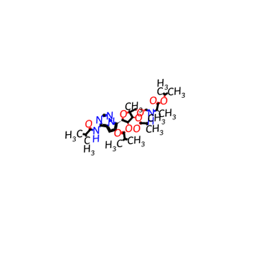 CC(C)OC(=O)[C@H](C)NCOC[C@@]1(C)O[C@@H](c2ccc3c(NC(=O)C(C)C)ncnn23)[C@H](OC(=O)C(C)C)[C@@H]1OC(=O)C(C)C